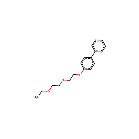 [CH2]COCCOCCOc1ccc(-c2ccccc2)cc1